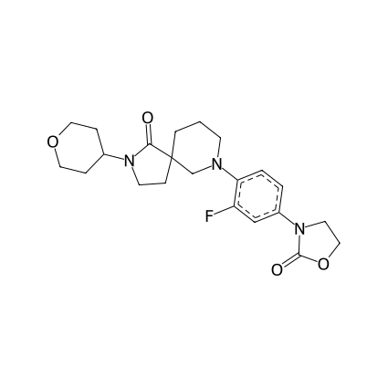 O=C1OCCN1c1ccc(N2CCCC3(CCN(C4CCOCC4)C3=O)C2)c(F)c1